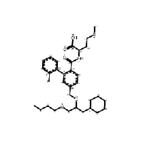 CCCCOCC(CC1CCCCC1)OCc1ccc(C(=O)NC(CCSC)C(=O)O)c(-c2ccccc2C)c1